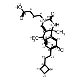 CC(C)C1=CN(CCCC(=O)O)C(=O)N[C@]1(C)c1ccc(CCC2CCC2)c(Cl)c1